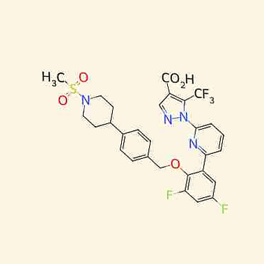 CS(=O)(=O)N1CCC(c2ccc(COc3c(F)cc(F)cc3-c3cccc(-n4ncc(C(=O)O)c4C(F)(F)F)n3)cc2)CC1